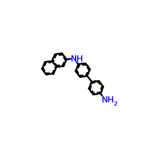 Nc1ccc(-c2ccc(Nc3ccc4ccccc4c3)cc2)cc1